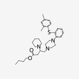 CCCCOC(=O)CC(CN1CCN(c2ccccc2Sc2ccc(C)cc2C)CC1)N1CCCCC1